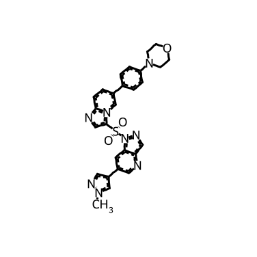 Cn1cc(-c2cnc3cnn(S(=O)(=O)c4cnc5ccc(-c6ccc(N7CCOCC7)cc6)cn45)c3c2)cn1